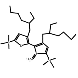 CCCCC(CC)CC1=C(c2sc([Si](C)(C)C)cc2CC(CC)CCCC)S(=[SiH2])C([Si](C)(C)C)=C1